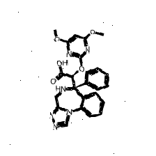 COc1cc(OC)nc(O[C@H](C(=O)O)[C@@]2(c3ccccc3)NCc3nncn3-c3ccccc32)n1